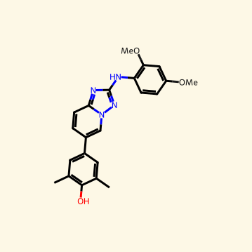 COc1ccc(Nc2nc3ccc(-c4cc(C)c(O)c(C)c4)cn3n2)c(OC)c1